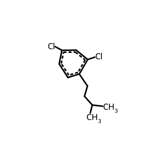 CC(C)CCc1ccc(Cl)cc1Cl